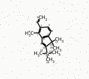 C=Cc1ccc2c(c1C)C=C([Si](C)(C)C)C2(C)C